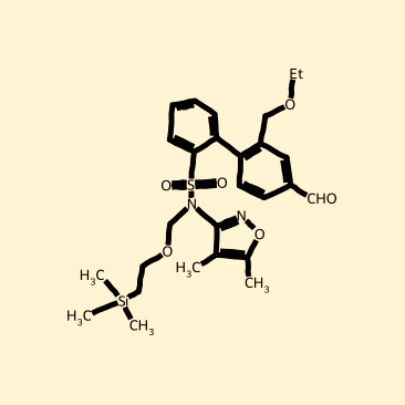 CCOCc1cc(C=O)ccc1-c1ccccc1S(=O)(=O)N(COCC[Si](C)(C)C)c1noc(C)c1C